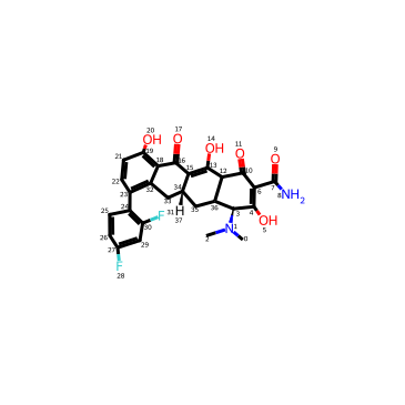 CN(C)[C@@H]1C(O)=C(C(N)=O)C(=O)C2C(O)=C3C(=O)c4c(O)ccc(-c5ccc(F)cc5F)c4C[C@H]3CC21